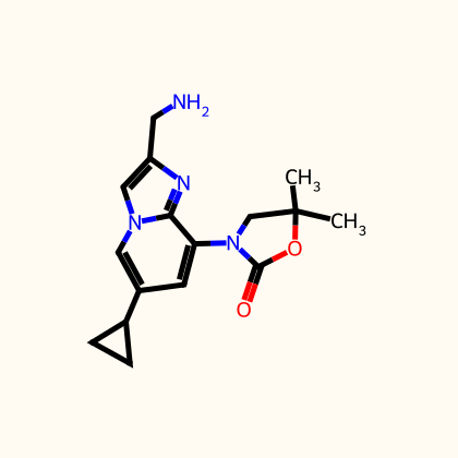 CC1(C)CN(c2cc(C3CC3)cn3cc(CN)nc23)C(=O)O1